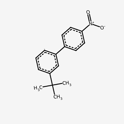 CC(C)(C)c1cc[c]c(-c2ccc([N+](=O)[O-])cc2)c1